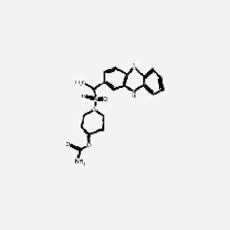 CC(c1ccc2c(c1)Nc1ccccc1S2)S(=O)(=O)N1CCC(OC(N)=O)CC1